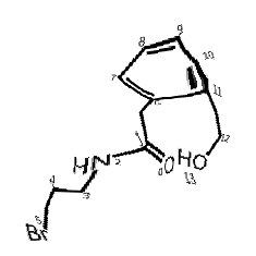 O=C(NCCBr)c1ccccc1CO